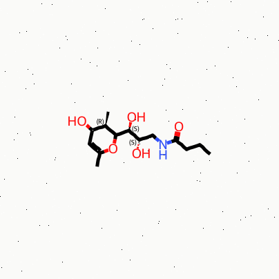 CCCC(=O)NC[C@H](O)[C@H](O)C1OC(C)=CC(O)[C@H]1C